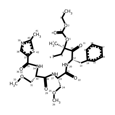 CCOC(=O)O[C@](C)(CI)C(=O)[C@H](Cc1ccccc1)NC(=O)[C@H](COC)NC(=O)[C@H](COC)NC(=O)c1cnc(C)s1